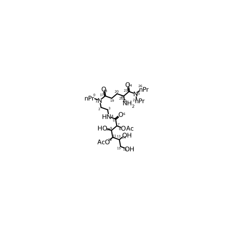 CCCN(CCNC(=O)C(OC(C)=O)C(O)C(OC(C)=O)C(O)CO)C(=O)CC[C@H](N)C(=O)N(CCC)CCC